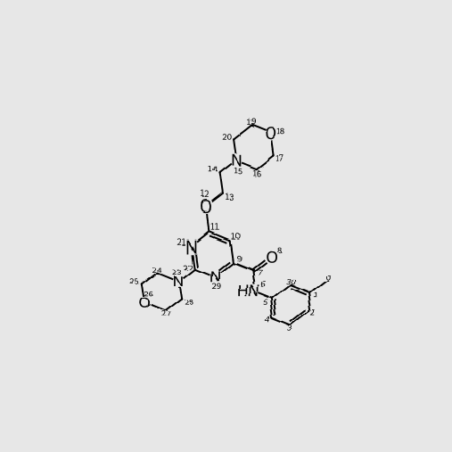 Cc1cccc(NC(=O)c2cc(OCCN3CCOCC3)nc(N3CCOCC3)n2)c1